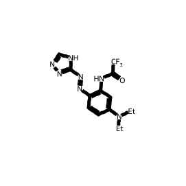 CCN(CC)c1ccc(N=Nc2nnc[nH]2)c(NC(=O)C(F)(F)F)c1